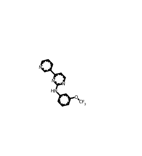 FC(F)(F)Oc1cccc(Nc2nccc(-c3cccnc3)n2)c1